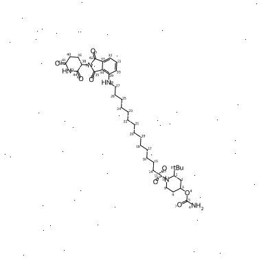 CC(C)(C)C1CC(OC(N)=O)CCN1S(=O)(=O)CCCCCCCCCCCCCCNc1cccc2c1C(=O)N(C1CCC(=O)NC1=O)C2=O